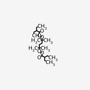 CCC(CC)C(=O)OOC(C)(C)CCC(C)(C)OOC(=O)C(CC)CC